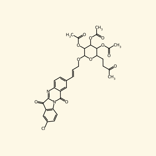 CC(=O)CCC1OC(OC/C=C/c2ccc3nc4n(c(=O)c3c2)-c2ccc(Cl)cc2C4=O)C(OC(C)=O)C(OC(C)=O)C1OC(C)=O